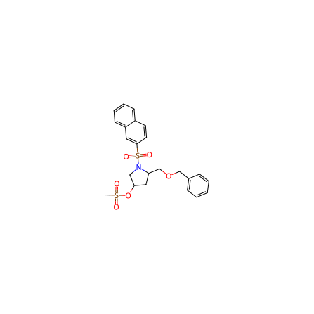 CS(=O)(=O)OC1CC(COCc2ccccc2)N(S(=O)(=O)c2ccc3ccccc3c2)C1